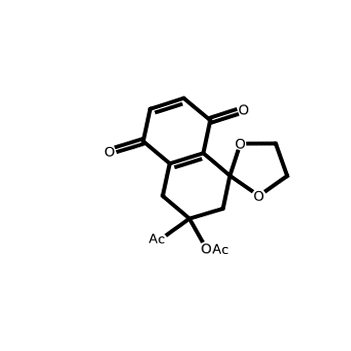 CC(=O)OC1(C(C)=O)CC2=C(C(=O)C=CC2=O)C2(C1)OCCO2